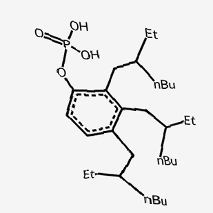 CCCCC(CC)Cc1ccc(OP(=O)(O)O)c(CC(CC)CCCC)c1CC(CC)CCCC